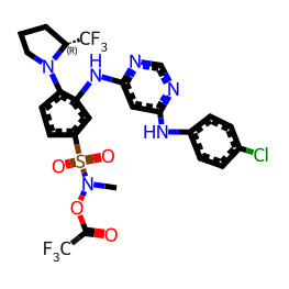 CN(OC(=O)C(F)(F)F)S(=O)(=O)c1ccc(N2CCC[C@@H]2C(F)(F)F)c(Nc2cc(Nc3ccc(Cl)cc3)ncn2)c1